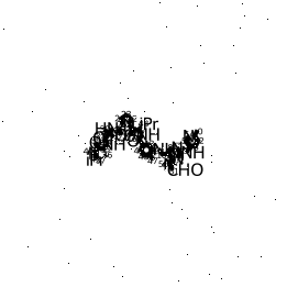 Cc1ccc(Nc2ncc(CNc3cc(C(=O)N[C@@H](C(=O)N4CCC[C@@H]4C(=O)NC(C)(C)C(=O)N[C@H](CC(C)C)C(=O)N(C)C)C(C)C)ccc3C)c(N(C)C=O)n2)cn1